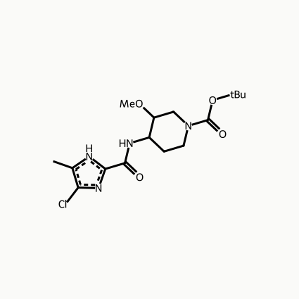 COC1CN(C(=O)OC(C)(C)C)CCC1NC(=O)c1nc(Cl)c(C)[nH]1